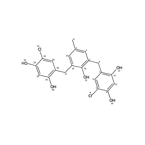 Cc1cc(Cc2cc(Cl)c(O)cc2O)c(O)c(Cc2cc(Cl)c(O)cc2O)c1